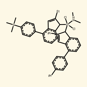 CCC1=Cc2c(-c3ccc([Si](C)(C)C)cc3)cccc2[CH]1[Zr]([Cl])([Cl])([CH]1C(C(C)C)=Cc2c(-c3ccc(C(C)C)cc3)cccc21)[SiH](C)C